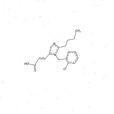 CCCCc1ncc(/C=C/C(=O)O)n1Cc1ccccc1Cl